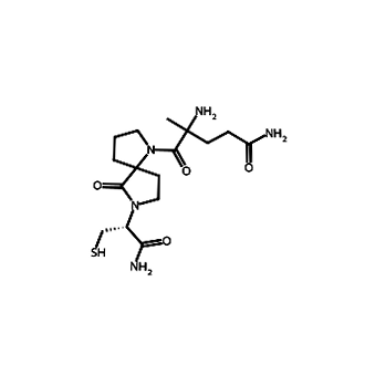 CC(N)(CCC(N)=O)C(=O)N1CCCC12CCN([C@@H](CS)C(N)=O)C2=O